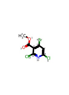 COC(=O)c1c(Br)cc(Cl)nc1Cl